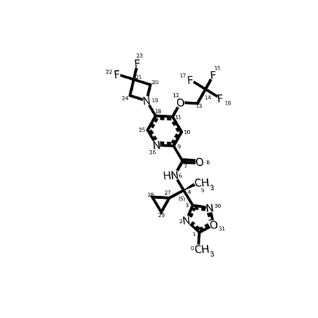 Cc1nc([C@@](C)(NC(=O)c2cc(OCC(F)(F)F)c(N3CC(F)(F)C3)cn2)C2CC2)no1